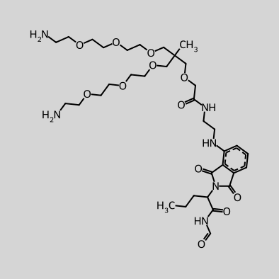 CCCC(C(=O)NC=O)N1C(=O)c2cccc(NCCNC(=O)COCC(C)(COCCOCCOCCN)COCCOCCOCCN)c2C1=O